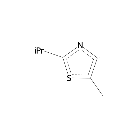 Cc1[c]nc(C(C)C)s1